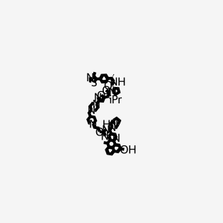 Cc1ncsc1-c1ccc([C@H](C)NC(=O)[C@@H]2CCCN2C(=O)[C@@H](c2cc(N3CCN(CC4CCN(CCOc5nc(N6CC7CCC(C6)N7)c6cnc7c(c6n5)C(C)c5cccc6cc(O)cc-7c56)CC4)CC3)no2)C(C)C)cc1